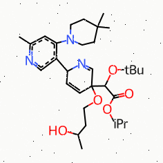 Cc1cc(N2CCC(C)(C)CC2)c(C2C=CC(OCCC(C)O)(C(OC(C)(C)C)C(=O)OC(C)C)C=N2)cn1